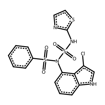 O=S(=O)(Nc1nccs1)N(c1cccc2[nH]cc(Cl)c12)S(=O)(=O)c1ccccc1